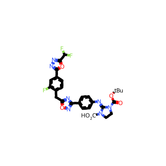 CC(C)(C)OC(=O)N1CCN(C(=O)O)C1=Nc1ccc(-c2noc(Cc3ccc(-c4nnc(C(F)F)o4)cc3F)n2)cc1